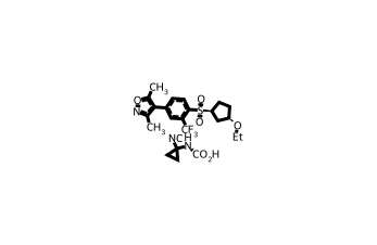 CCO[C@H]1CC[C@H](S(=O)(=O)c2ccc(-c3c(C)noc3C)cc2C(F)(F)F)C1.N#CC1(NC(=O)O)CC1